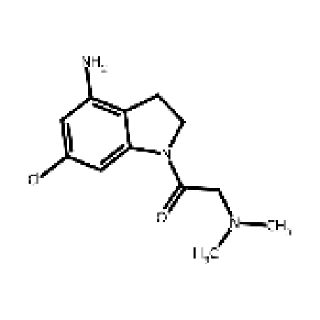 CN(C)CC(=O)N1CCc2c(N)cc(Cl)cc21